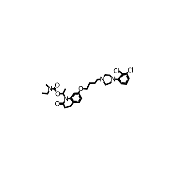 CCN(C)C(=O)OC(C)N1C(=O)CCc2ccc(OCCCCN3CCN(c4cccc(Cl)c4Cl)CC3)cc21